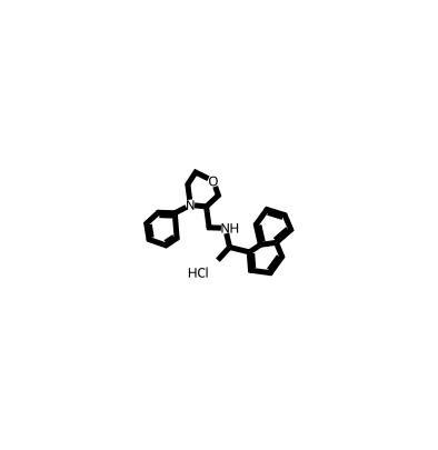 CC(NCC1COCCN1c1ccccc1)c1cccc2ccccc12.Cl